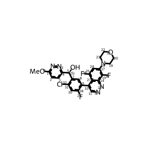 COc1ccc([C@@H](O)c2cc(-c3cnnc4c(F)c(N5CCOCC5)cc(F)c34)c(F)cc2Cl)nn1